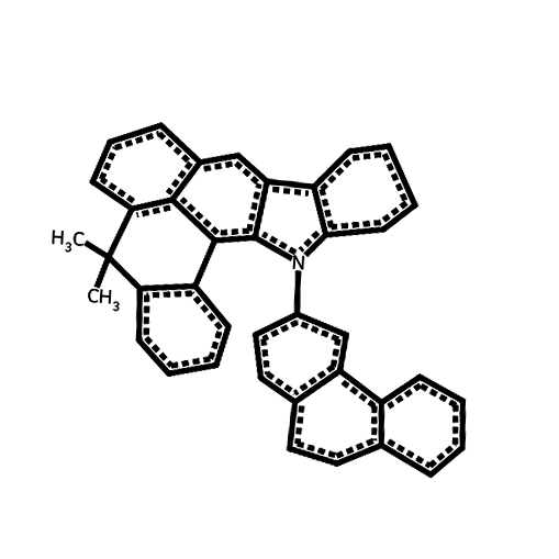 CC1(C)c2ccccc2-c2c3c1cccc3cc1c3ccccc3n(-c3ccc4ccc5ccccc5c4c3)c21